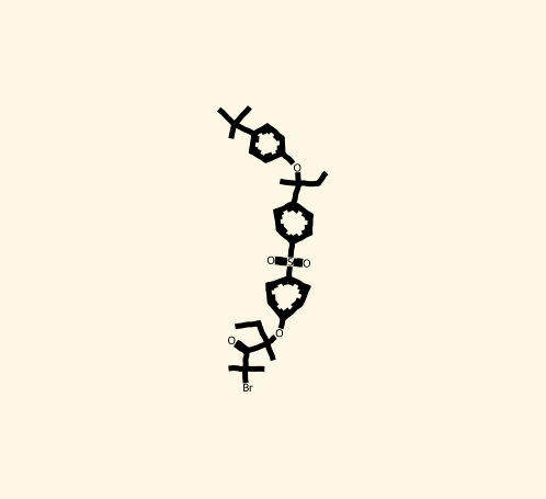 CCC(C)(Oc1ccc(S(=O)(=O)c2ccc(C(C)(CC)Oc3ccc(C(C)(C)C)cc3)cc2)cc1)C(=O)C(C)(C)Br